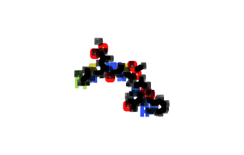 C=C(C)[C@@H](C[C@@H](OC(C)=O)c1nc(C(=O)N[C@@H](Cc2nc(C(F)(F)F)cs2)C[C@H](C)C(=O)OC)cs1)N(C)C(=O)[C@@H](NC(=O)[C@H]1CCCCN1C)C1COC1